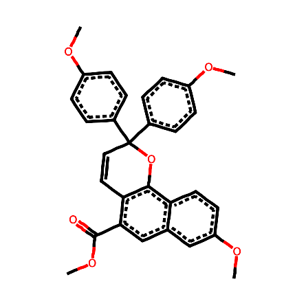 COC(=O)c1cc2cc(OC)ccc2c2c1C=CC(c1ccc(OC)cc1)(c1ccc(OC)cc1)O2